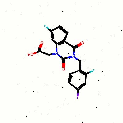 O=C(O)Cn1c(=O)n(Cc2ccc(I)cc2F)c(=O)c2ccc(F)cc21